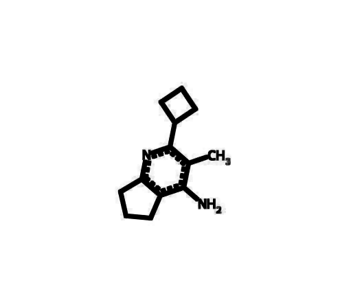 Cc1c(C2CCC2)nc2c(c1N)CCC2